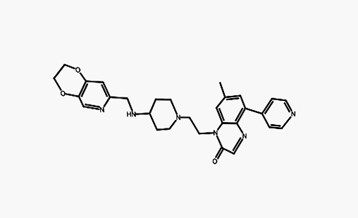 Cc1cc(-c2ccncc2)c2ncc(=O)n(CCN3CCC(NCc4cc5c(cn4)OCCO5)CC3)c2c1